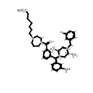 CCOC(=O)CCCCCCN1CCCN(C(=O)c2cccc(C(c3cccc(O)c3)N3C[C@@H](C)N(Cc4cccc(F)c4)C[C@@H]3C)c2)CC1